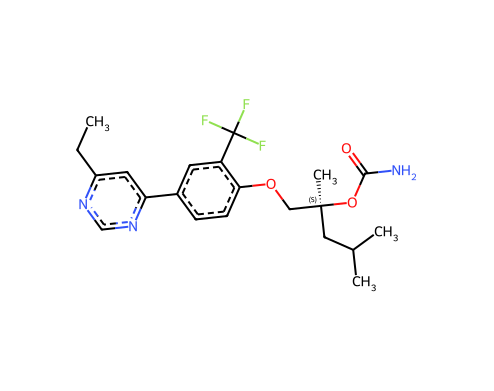 CCc1cc(-c2ccc(OC[C@](C)(CC(C)C)OC(N)=O)c(C(F)(F)F)c2)ncn1